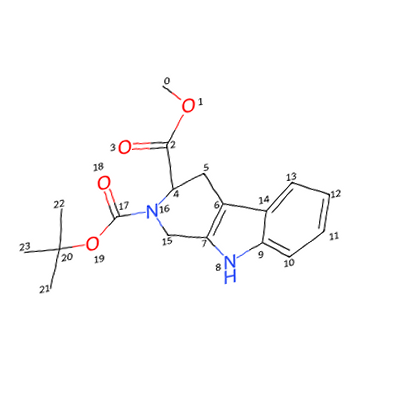 COC(=O)C1Cc2c([nH]c3ccccc23)CN1C(=O)OC(C)(C)C